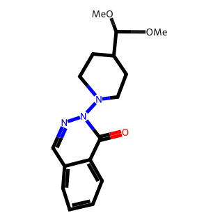 COC(OC)C1CCN(n2ncc3ccccc3c2=O)CC1